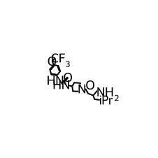 CC(C)CC(CN)CC(=O)N1CCC(NC(=O)Nc2ccc(OC(F)(F)F)cc2)CC1